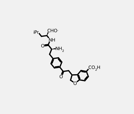 CC(C)C[C@@H]([C]=O)NC(=O)[C@@H](N)Cc1ccc(C(=O)CC2COc3ccc(C(=O)O)cc32)cc1